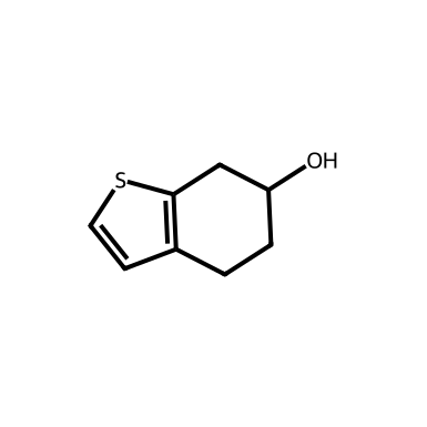 OC1CCc2ccsc2C1